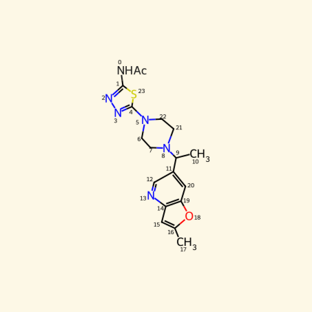 CC(=O)Nc1nnc(N2CCN(C(C)c3cnc4cc(C)oc4c3)CC2)s1